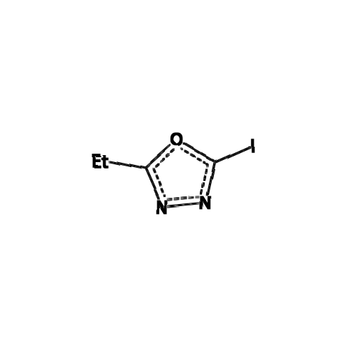 CCc1nnc(I)o1